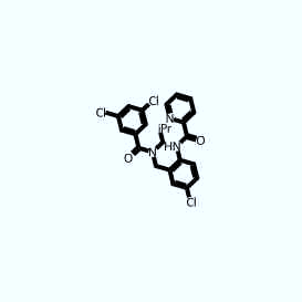 CC(C)CN(Cc1cc(Cl)ccc1NC(=O)c1ccccn1)C(=O)c1cc(Cl)cc(Cl)c1